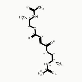 CC(=O)N[C@@H](C)COC(=O)/C=C/C(=O)OC[C@H](C)NC(N)=O